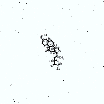 CCN(CC)C(=O)C(Cl)(Cl)C[C@@H](C)[C@H]1CC[C@H]2[C@@H]3CC[C@@H]4C[C@H](OC=O)CC[C@]4(C)[C@H]3C(=O)C[C@]12C